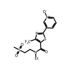 CCN(CCS(C)(=O)=O)C(=O)c1sc(-c2ccc[n+]([O-])c2)nc1C(F)(F)F